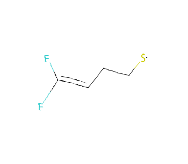 FC(F)=CCC[S]